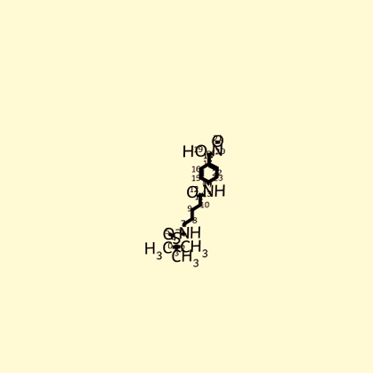 CC(C)(C)[S+]([O-])NCCCCC(=O)N[C@H]1C=CC([C@@H](O)N=O)=CC1